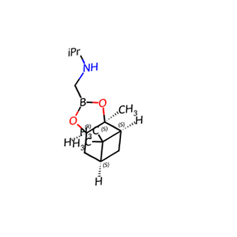 CC(C)NCB1O[C@@H]2C[C@@H]3C[C@@H](C3(C)C)[C@]2(C)O1